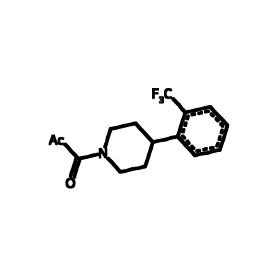 CC(=O)C(=O)N1CCC(c2ccccc2C(F)(F)F)CC1